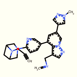 C#CCN1C2CC1CN(c1ccc(-c3cc(-c4cnn(C)c4)cn4ncc(CN=C)c34)cn1)C2